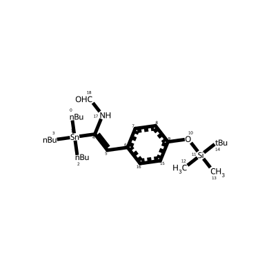 CCC[CH2][Sn]([CH2]CCC)([CH2]CCC)/[C](=C/c1ccc(O[Si](C)(C)C(C)(C)C)cc1)NC=O